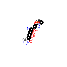 CCCP(=O)(OCC)C(Nc1ccccc1)c1ccc(-c2cc(N(C)C)c3c(c2O)C(=O)C2=C(O)C4C(=O)C(C(N)=O)=C(N=O)CC4CC2C3)cc1